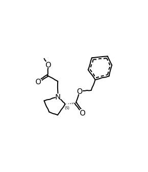 COC(=O)CN1CCC[C@H]1C(=O)OCc1ccccc1